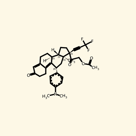 CC(=O)OCC(=O)[C@@]1(C#CC(F)(F)F)CC[C@H]2[C@@H]3CCC4=CC(=O)CCC4=C3[C@@H](c3ccc(N(C)C)cc3)C[C@@]21C